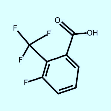 O=C(O)c1cccc(F)c1C(F)(F)F